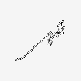 COCCOCCOCCOCCOCCOCCOCCOCCN(C)C(=O)C(OC(=O)NCC(F)(F)C(F)F)c1ccc(NC(=O)[C@H](C)NC(=O)[C@H](C)NC(=O)CCN2C(=O)C=CC2=O)cc1